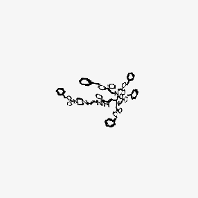 O=C(CCC(CN(CC(=O)OCc1ccccc1)CC(=O)OCc1ccccc1)N(CC(=O)OCc1ccccc1)CC(=O)OCc1ccccc1)NCCN1CCN(C(=O)OCc2ccccc2)CC1